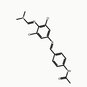 CC(=O)Nc1ccc(C=Nc2cc(Cl)c(N=CN(C)C)c(Cl)c2)cc1